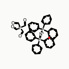 O=[CH][Ir]([CH]=O)([CH]=O)[CH]=O.c1ccc(P(=[N+]=P(c2ccccc2)(c2ccccc2)c2ccccc2)(c2ccccc2)c2ccccc2)cc1